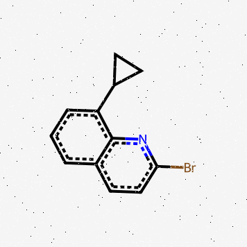 Brc1ccc2cccc(C3CC3)c2n1